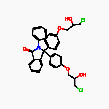 O=C1c2ccccc2C(c2ccc(OCC(O)CCl)cc2)(c2ccc(OCC(O)CCl)cc2)N1c1ccccc1